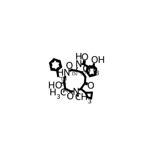 C[C@H]1CC(=O)C(C2CCC2)N(C)C(=O)[C@H](C)[C@H](O)[C@H](Cc2ccccc2)NC(=O)[C@H]1NC(=O)c1ccccc1O